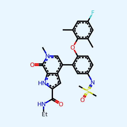 CCNC(=O)c1cc2c(-c3cc(N=S(C)(C)=O)ccc3Oc3c(C)cc(F)cc3C)cn(C)c(=O)c2[nH]1